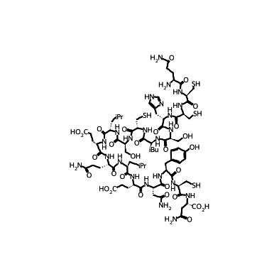 CC[C@H](C)[C@H](NC(=O)[C@H](CO)NC(=O)[C@H](Cc1c[nH]cn1)NC(=O)[C@H](CS)NC(=O)[C@H](CS)NC(=O)[C@@H](N)CCC(N)=O)C(=O)N[C@@H](CS)C(=O)N[C@@H](CO)C(=O)N[C@@H](CC(C)C)C(=O)N[C@@H](CCC(=O)O)C(=O)N[C@@H](CCC(N)=O)C(=O)N[C@@H](CC(C)C)C(=O)N[C@@H](CCC(=O)O)C(=O)N[C@@H](CC(N)=O)C(=O)N[C@@H](Cc1ccc(O)cc1)C(=O)N[C@@H](CS)C(=O)N[C@@H](CC(N)=O)C(=O)O